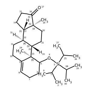 CC(C)[Si](OC1CCC=C2CC[C@H]3[C@@H]4CCC(=O)[C@@]4(C)CC[C@@H]3[C@]21C)(C(C)C)C(C)C